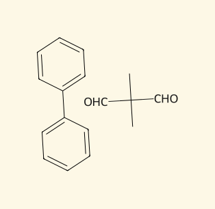 CC(C)(C=O)C=O.c1ccc(-c2ccccc2)cc1